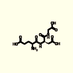 N[C@@H](CCC(=O)O)C(=O)N[C@@H](CC(=O)O)C(=O)NCC(=O)O